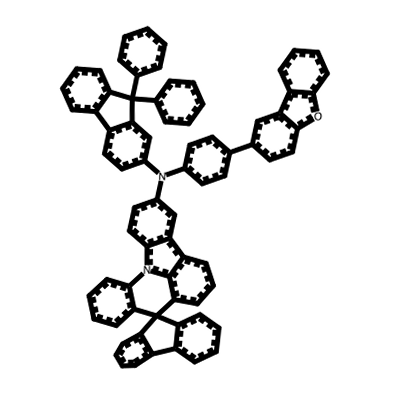 c1ccc(C2(c3ccccc3)c3ccccc3-c3ccc(N(c4ccc(-c5ccc6oc7ccccc7c6c5)cc4)c4ccc5c(c4)c4cccc6c4n5-c4ccccc4C64c5ccccc5-c5ccccc54)cc32)cc1